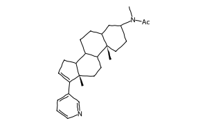 CC(=O)N(C)C1CC[C@@]2(C)C(CCC3C2CC[C@]2(C)C(c4cccnc4)=CCC32)C1